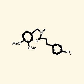 COc1ccc(CN(C)C(=O)CCc2ccc(N)cc2)cc1OC